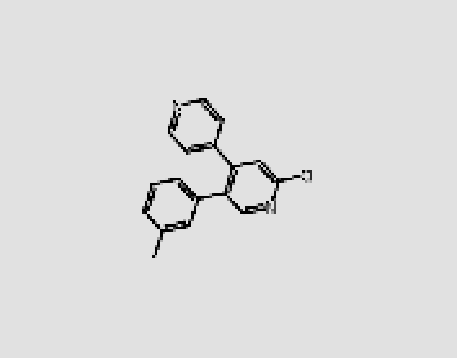 Cc1cccc(-c2cnc(Cl)cc2-c2ccncc2)c1